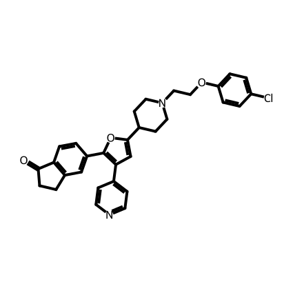 O=C1CCc2cc(-c3oc(C4CCN(CCOc5ccc(Cl)cc5)CC4)cc3-c3ccncc3)ccc21